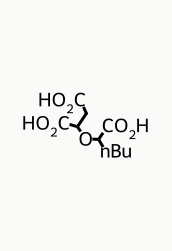 CCCCC(OC(CC(=O)O)C(=O)O)C(=O)O